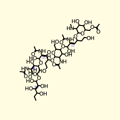 CCC(O)/C(O)=C(\O)C(O)OCCC(OC(O)/C(NC(C)=O)=C(/O)C(CCO)OC1OC(CO)C(OC(O)/C(=C/C(CCO)OC2OC(COC(C)=O)C(O)C(O)C2NC)NC(C)=O)C(O)C1NC(C)=O)/C(O)=C(/NC(C)=O)C(O)O